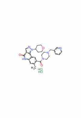 Cc1cc2[nH]c(=O)c3cnn(C4CCOCC4)c3c2cc1C(=O)N1CCN(Cc2cccnc2)CC1.Cl.Cl